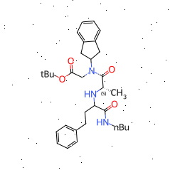 CCCCNC(=O)C(CCc1ccccc1)N[C@@H](C)C(=O)N(CC(=O)OC(C)(C)C)C1Cc2ccccc2C1